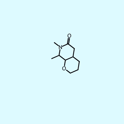 CC1C2OCCCC2CC(=O)N1C